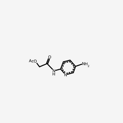 CC(=O)OCC(=O)Nc1ccc(N)cn1